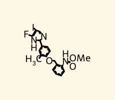 COC(=O)Nc1ccccc1COc1ccc(C2N=CC(I)=C(F)N2)cc1C